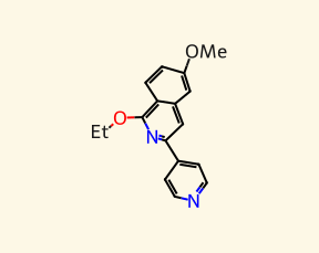 CCOc1nc(-c2ccncc2)cc2cc(OC)ccc12